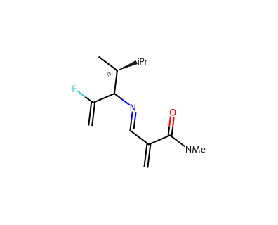 C=C(C=NC(C(=C)F)[C@@H](C)C(C)C)C(=O)NC